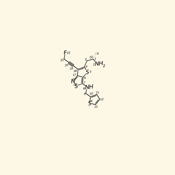 C[C@H](N)Cc1sc2c(NCc3cccs3)snc2c1C#CCF